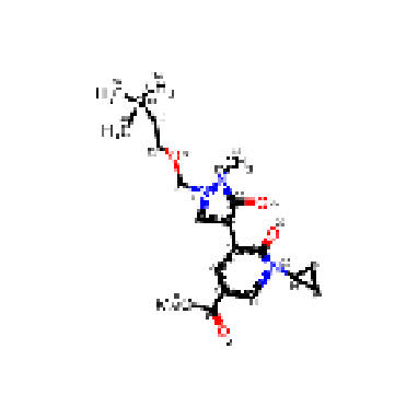 COC(=O)c1cc(-c2cn(COCC[Si](C)(C)C)n(C)c2=O)c(=O)n(C2CC2)c1